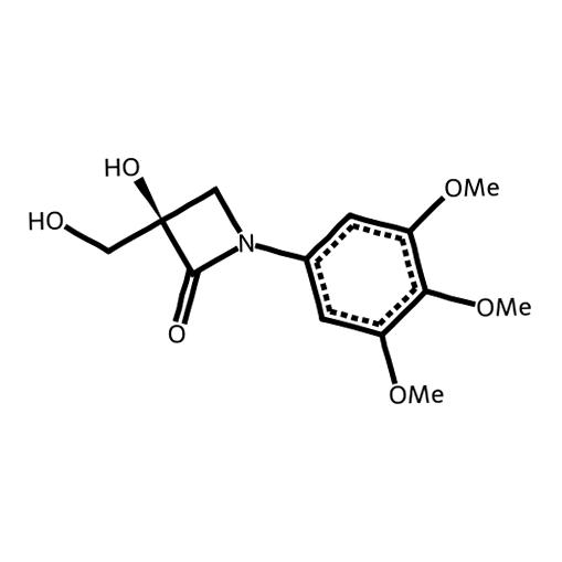 COc1cc(N2C[C@@](O)(CO)C2=O)cc(OC)c1OC